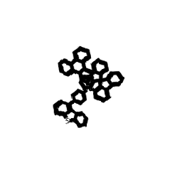 c1ccc2c(c1)-c1ccccc1C21c2ccccc2-c2cccc(N(c3ccc(-c4cccc5sc6ccccc6c45)cc3)c3ccc4c5ccccc5c5ccccc5c4c3)c21